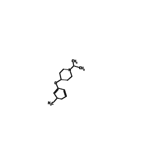 CC1C=C(OC2CCN(C(C)C)CC2)C=CC1